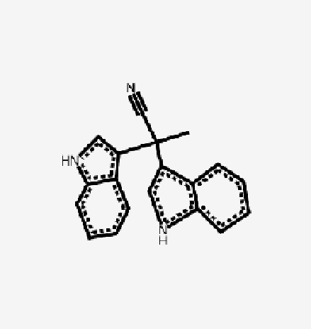 CC(C#N)(c1c[nH]c2ccccc12)c1c[nH]c2ccccc12